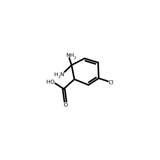 NC1(N)C=CC(Cl)=CC1C(=O)O